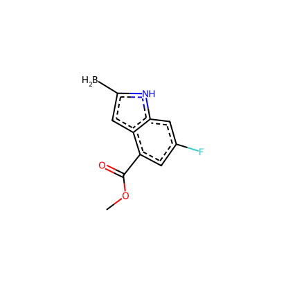 Bc1cc2c(C(=O)OC)cc(F)cc2[nH]1